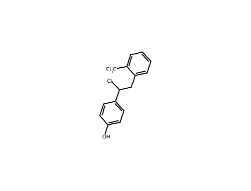 Oc1ccc(C(Cl)Cc2ccccc2C(Cl)(Cl)Cl)cc1